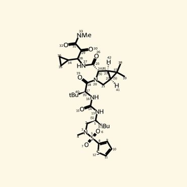 CC[C@H](C)[C@@H](CN(C)S(=O)(=O)c1cccs1)NC(=O)N[C@H](C(=O)N1C[C@H]2[C@@H]([C@H]1C(=O)NC(C(=O)C(=O)NC)C1CC1)C2(C)C)C(C)(C)C